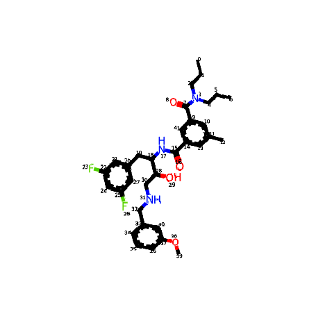 CCCN(CCC)C(=O)c1cc(C)cc(C(=O)NC(Cc2cc(F)cc(F)c2)C(O)CNCc2cccc(OC)c2)c1